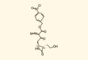 [N-]=[N+]=C(C(=O)C[C@@H]1NC(=O)[C@H]1CCO)C(=O)OCc1ccc([N+](=O)[O-])cc1